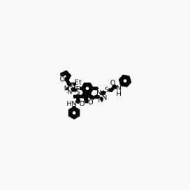 CCn1c(SC(C)(Cc2cc(Cn3c(SCC(=O)Nc4ccccc4)nnc3-c3ccco3)ccc2F)C(=O)Nc2ccccc2)nnc1-c1ccco1